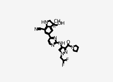 C[C@]1(CO)CNc2c(C#N)cc(-c3ccnc(Nc4cn(CC(F)F)nc4C(=O)N4CCCC4)n3)cc21